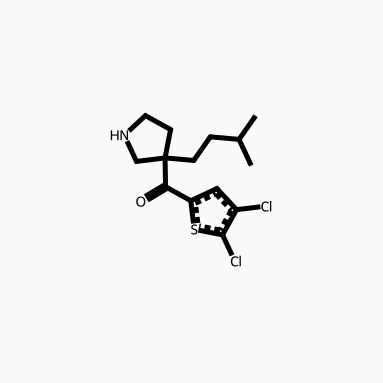 CC(C)CCC1(C(=O)c2cc(Cl)c(Cl)s2)CCNC1